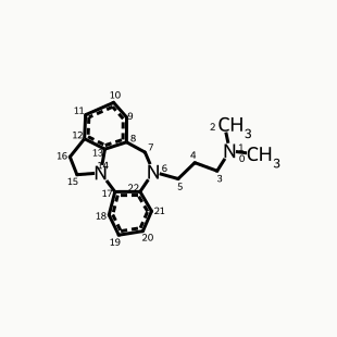 CN(C)CCCN1Cc2cccc3c2N(CC3)c2ccccc21